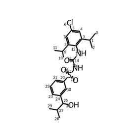 CC(C)c1cc(Cl)cc(C(C)C)c1NC(=O)NS(=O)(=O)c1cccc(C(O)C(C)C)c1